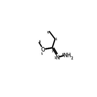 CC/C(=N\N)OC